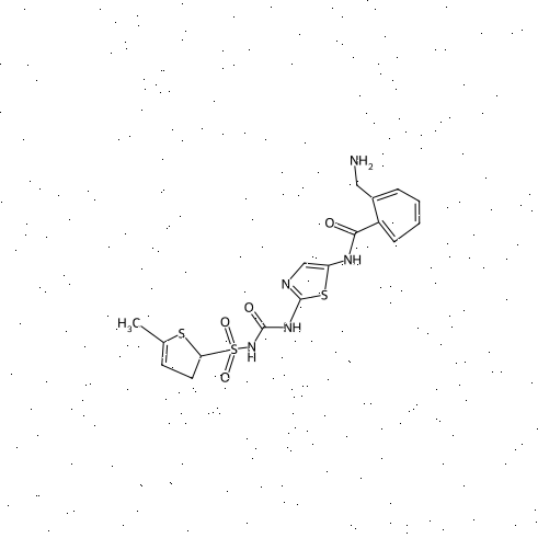 CC1=CCC(S(=O)(=O)NC(=O)Nc2ncc(NC(=O)c3ccccc3CN)s2)S1